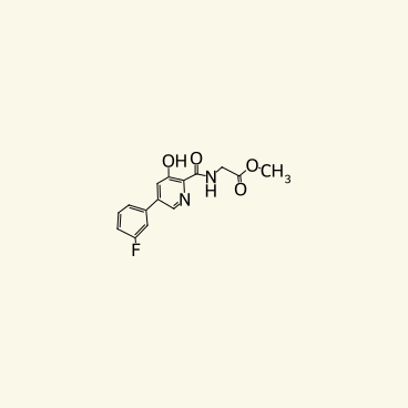 COC(=O)CNC(=O)c1ncc(-c2cccc(F)c2)cc1O